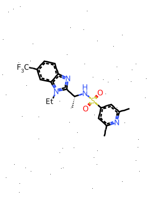 CCn1c([C@@H](C)NS(=O)(=O)c2cc(C)nc(C)c2)nc2ccc(C(F)(F)F)cc21